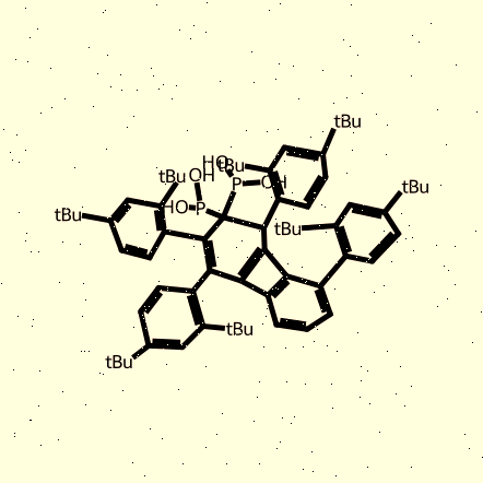 CC(C)(C)c1ccc(C2=C(c3ccc(C(C)(C)C)cc3C(C)(C)C)C(P(O)O)(P(O)O)C(c3ccc(C(C)(C)C)cc3C(C)(C)C)C3=C2c2cccc(-c4ccc(C(C)(C)C)cc4C(C)(C)C)c23)c(C(C)(C)C)c1